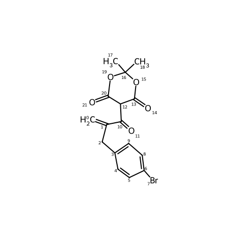 C=C(Cc1ccc(Br)cc1)C(=O)C1C(=O)OC(C)(C)OC1=O